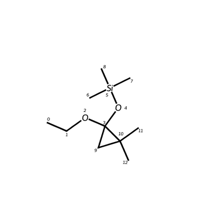 CCOC1(O[Si](C)(C)C)CC1(C)C